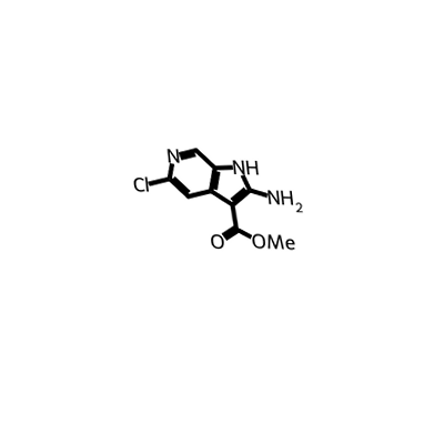 COC(=O)c1c(N)[nH]c2cnc(Cl)cc12